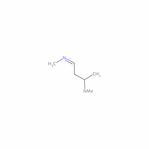 C/N=C\CC(C)NC